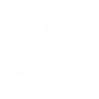 CCCCOc1cc(C#N)cc(C)c1C#N